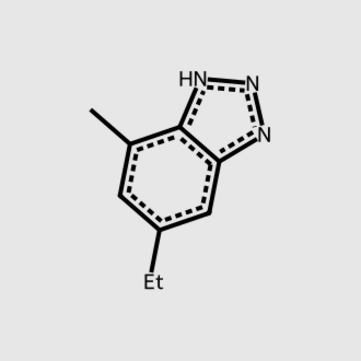 CCc1cc(C)c2[nH]nnc2c1